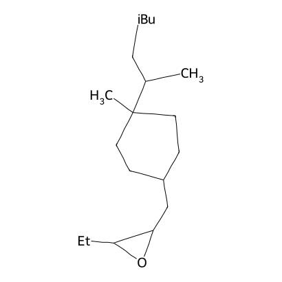 CCC(C)CC(C)C1(C)CCC(CC2OC2CC)CC1